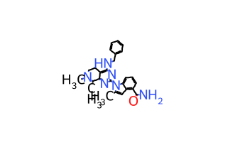 Cc1cc2c(C(N)=O)cccc2n1-c1nc(NCc2ccccc2)c2c(n1)C(C)N(C)CC2